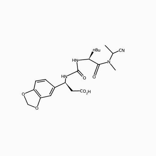 CCCC[C@H](NC(=O)N[C@@H](CC(=O)O)c1ccc2c(c1)OCO2)C(=O)N(C)C(C)C#N